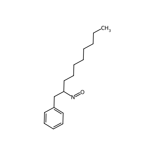 CCCCCCCCC(Cc1ccccc1)N=O